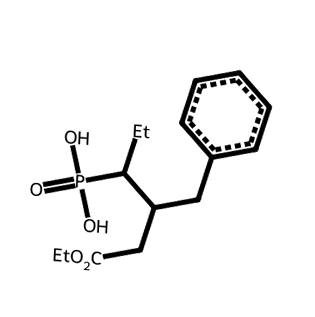 CCOC(=O)CC(Cc1ccccc1)C(CC)P(=O)(O)O